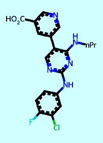 CCCNc1nc(Nc2ccc(F)c(Cl)c2)ncc1-c1cncc(C(=O)O)c1